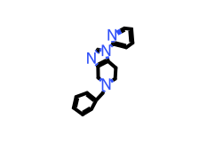 c1ccc(CN2CCc3c(ncn3-c3ccccn3)C2)cc1